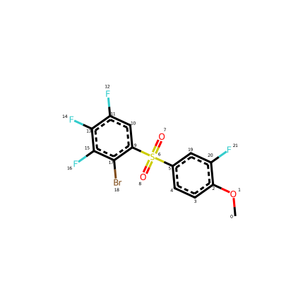 COc1ccc(S(=O)(=O)c2cc(F)c(F)c(F)c2Br)cc1F